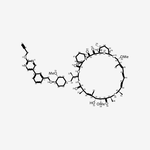 C#CCOc1ncc(-c2cccc(CO[C@@H]3CC[C@@H](C[C@@H](C)[C@@H]4CC(=O)[C@H](C)/C=C(\C)[C@@H](O)[C@@H](OC)C(=O)[C@H](C)C[C@H](C)/C=C/C=C/C=C(\C)[C@@H](OC)C[C@@H]5CC[C@@H](C)[C@@](O)(O5)C(=O)C(=O)N5CCCC[C@H]5C(=O)O4)C[C@H]3OC)c2)cn1